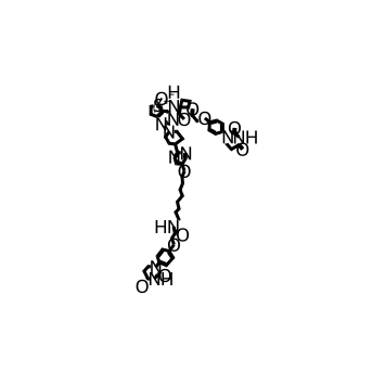 O=C(COc1ccc(N2CCC(=O)NC2=O)cc1)NCCCCCCCCOc1cnc(C2CCN(c3nc4c(c(NC5(COC(=O)COc6ccc(N7CCC(=O)NC7=O)cc6)CCC5)n3)[S@+]([O-])CC4)CC2)nc1